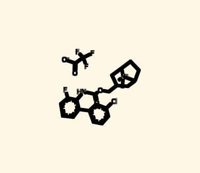 C[N+]1(C)C2CCC1CC(COC(=O)Nc1c(F)cccc1-c1cccc(Cl)c1)C2.O=C([O-])C(F)(F)F